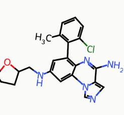 Cc1cccc(Cl)c1-c1cc(NCC2CCCO2)cc2c1nc(N)c1cncn12